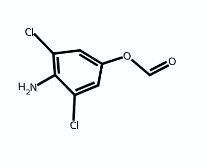 Nc1c(Cl)cc(OC=O)cc1Cl